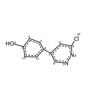 Oc1ccc(-c2cnnc(Cl)c2)cc1